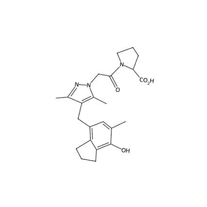 Cc1cc(Cc2c(C)nn(CC(=O)N3CCCC3C(=O)O)c2C)c2c(c1O)CCC2